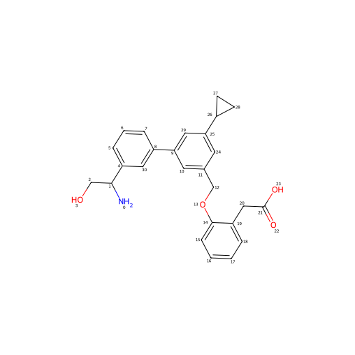 NC(CO)c1cccc(-c2cc(COc3ccccc3CC(=O)O)cc(C3CC3)c2)c1